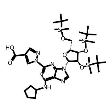 CC(C)(C)[Si](C)(C)OC[C@H]1O[C@@H](n2cnc3c(NC4CCCC4)nc(-n4cc(C(=O)O)cn4)nc32)[C@H](O[Si](C)(C)C(C)(C)C)[C@@H]1O[Si](C)(C)C(C)(C)C